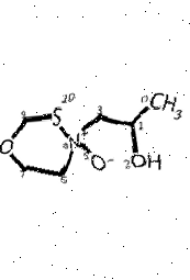 CC(O)C[N+]1([O-])CCOCS1